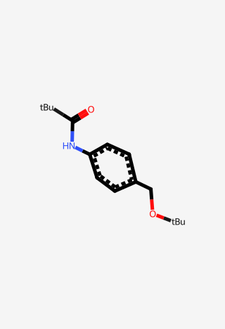 CC(C)(C)OCc1ccc(NC(=O)C(C)(C)C)cc1